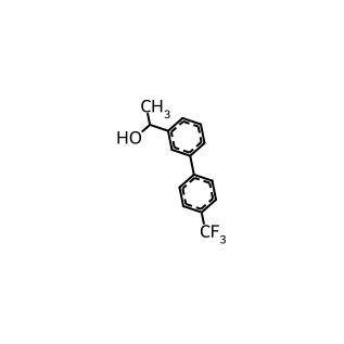 CC(O)c1cccc(-c2ccc(C(F)(F)F)cc2)c1